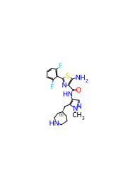 Cn1ncc(NC(=O)c2nc(-c3c(F)cccc3F)sc2N)c1C[C@H]1CCCNCC1